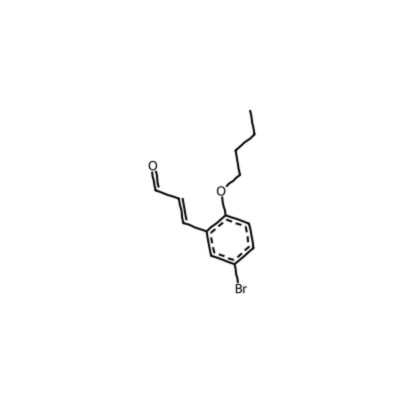 CCCCOc1ccc(Br)cc1/C=C/C=O